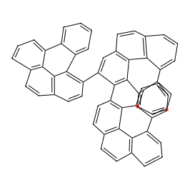 c1ccc2c(c1)c1cccc3ccc4ccc(-c5cc6ccc7cccc8c9ccccc9c(c5-c5ccc9ccc%10cccc%11c%12ccccc%12c5c9c%10%11)c6c78)c2c4c31